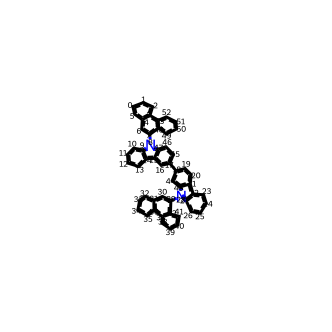 c1ccc2c(c1)cc(-n1c3ccccc3c3cc(-c4ccc5c6ccccc6n(-c6cc7ccccc7c7ccccc67)c5c4)ccc31)c1ccccc12